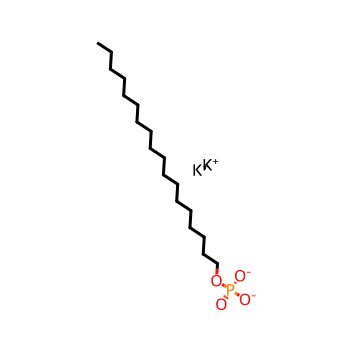 CCCCCCCCCCCCCCCCCCOP(=O)([O-])[O-].[K+].[K+]